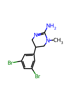 CN1CC(c2cc(Br)cc(Br)c2)CN=C1N